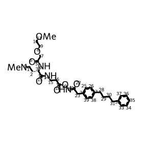 CNCC[C@H](NC(=O)COCCOC)C(=O)NCCC(=O)ONC(=O)Cc1ccc(CCCCc2ccccc2)cc1